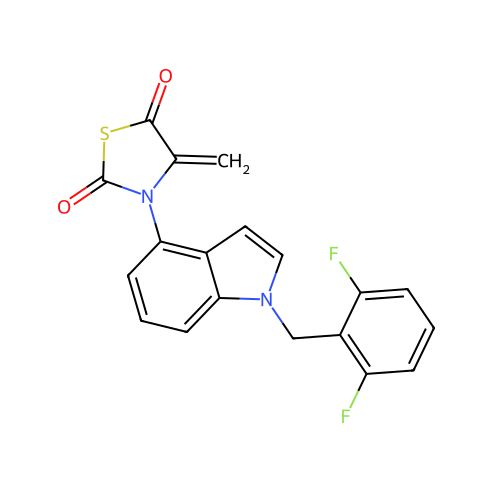 C=C1C(=O)SC(=O)N1c1cccc2c1ccn2Cc1c(F)cccc1F